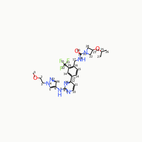 COCCn1cc(Nc2nccc(-c3ccc(CNC(=O)N4CC(OC(C)C)C4)c(C(F)(F)F)c3)n2)cn1